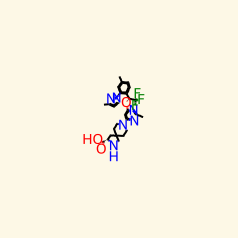 Cc1ccc([C@@H](Oc2cc(N3CCC4(CC3)CN[C@H](C(=O)O)C4)nc(C)n2)C(F)(F)F)c(-n2ccc(C)n2)c1